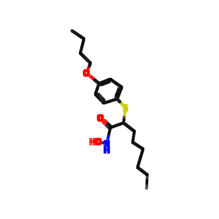 CCCCCCC(Sc1ccc(OCCCC)cc1)C(=O)NO